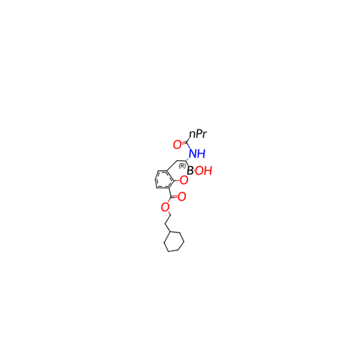 CCCC(=O)N[C@H]1Cc2cccc(C(=O)OCCC3CCCCC3)c2OB1O